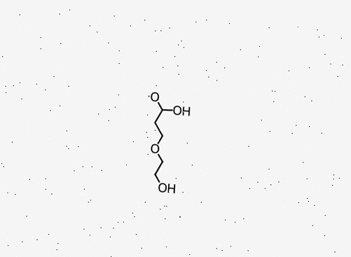 [O]C(O)CCOCCO